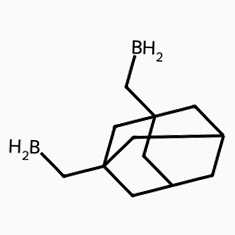 BCC12CC3CC(C1)CC(CB)(C3)C2